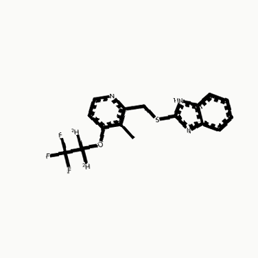 [2H]C([2H])(Oc1ccnc(CSc2nc3ccccc3[nH]2)c1C)C(F)(F)F